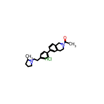 CC(=O)N1CCc2cc(-c3ccc(CCN4CCC[C@H]4C)cc3)ccc2C1.Cl